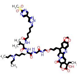 CCCN(CCC)CCCC[C@H](NC(=O)[C@@H](NC(=O)CCCCCn1cc(-c2cnc(S(C)(=O)=O)nc2)nn1)C(C)C)C(=O)NCC(=O)NCOC/C=C/c1c2c(nc3cc4c(cc13)OCO4)-c1cc3c(c(=O)n1C2)COC(=O)[C@]3(O)CC